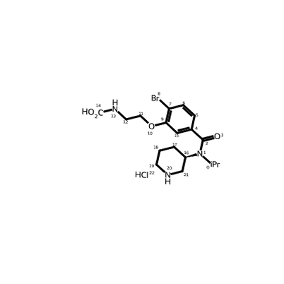 CC(C)N(C(=O)c1ccc(Br)c(OCCNC(=O)O)c1)[C@@H]1CCCNC1.Cl